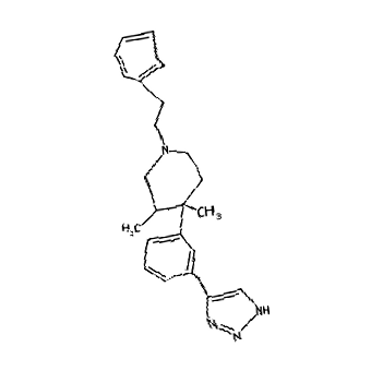 CC1CN(CCc2ccccc2)CCC1(C)c1cccc(-c2c[nH]nn2)c1